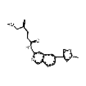 C=C(CO)CCC(=O)Nc1cc2cc(-c3cnn(C)c3)ccc2cn1